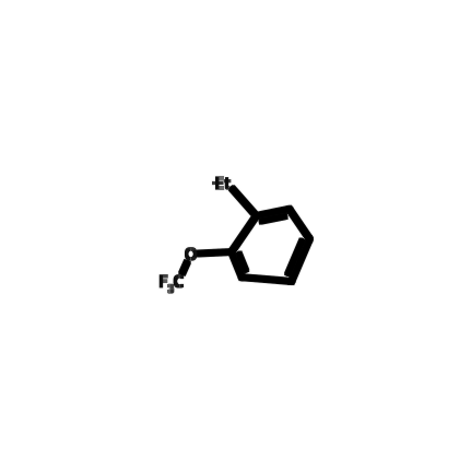 C[CH]c1ccccc1OC(F)(F)F